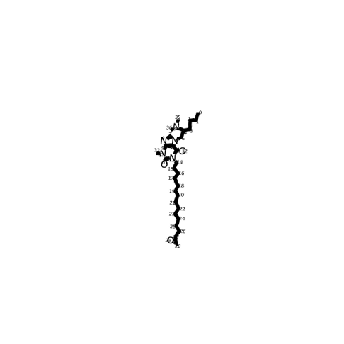 CCCCC(Cn1cnc2c1c(=O)n(CCCCCCCCCCCCCC1CO1)c(=O)n2C)N(C)C